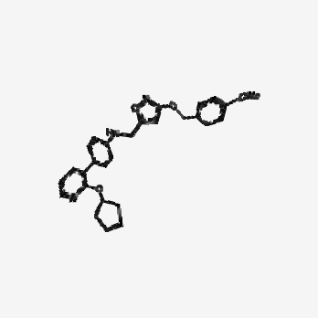 COc1ccc(COc2cc(CNc3ccc(-c4cccnc4OC4CCCC4)cc3)on2)cc1